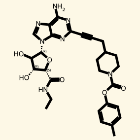 CCNC(=O)[C@H]1O[C@@H](n2cnc3c(N)nc(C#CCC4CCN(C(=O)Oc5ccc(C)cc5)CC4)nc32)C(O)[C@H]1O